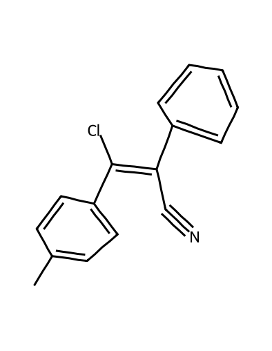 Cc1ccc(C(Cl)=C(C#N)c2ccccc2)cc1